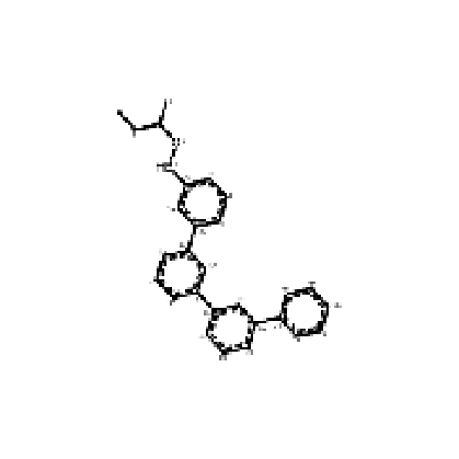 CCC(C)OBc1cccc(-c2cccc(-c3cccc(-c4ccccc4)c3)c2)c1